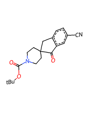 CC(C)(C)OC(=O)N1CCC2(CC1)Cc1ccc(C#N)cc1C2=O